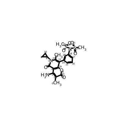 Cc1c(N)c2c(=O)n(C3CC3)c(C)c(-c3cccc(N(S(C)(=O)=O)S(C)(=O)=O)c3)c2oc1=O